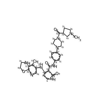 Cc1c(Nc2cc[nH]c(=O)c2C(=O)Nc2ccc(N3CCN(C(=O)C4CCN(C)C4)CC3)cc2)cnc2c1NCCO2